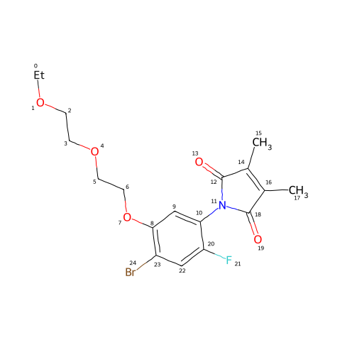 CCOCCOCCOc1cc(N2C(=O)C(C)=C(C)C2=O)c(F)cc1Br